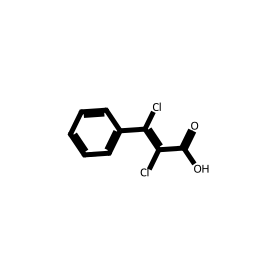 O=C(O)C(Cl)=C(Cl)c1ccccc1